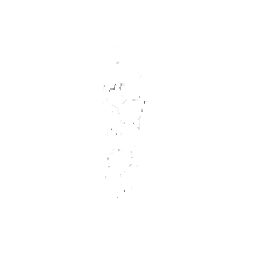 FC(F)(F)Oc1ccc(Nc2ncnc3c2cnn3C2CCCCC2)cc1